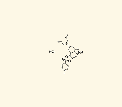 C=CCN(CC=C)C1Cc2c[nH]c3ccc(OS(=O)(=O)c4ccc(C)cc4)c(c23)C1.Cl